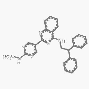 O=C(O)Nc1ncc(-c2nc(NCC(c3ccccc3)c3ccccc3)c3ccccc3n2)cn1